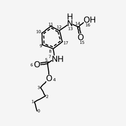 CCCCOC(=O)Nc1cccc(NC(=O)O)c1